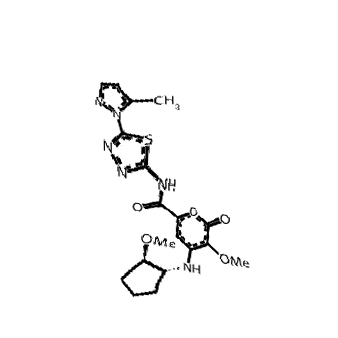 COc1c(N[C@@H]2CCC[C@H]2OC)cc(C(=O)Nc2nnc(-n3nccc3C)s2)oc1=O